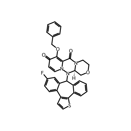 O=C1c2c(OCc3ccccc3)c(=O)ccn2N(C2c3cc(F)ccc3-c3ccsc3-c3ccccc32)[C@@H]2COCCN12